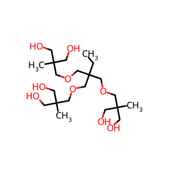 CCC(COCC(C)(CO)CO)(COCC(C)(CO)CO)COCC(C)(CO)CO